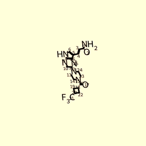 NC(=O)/C=C/c1c[nH]c2ncc(N3CCN(C(=O)[C@H]4C[C@H](C(F)(F)F)C4)CC3)nc12